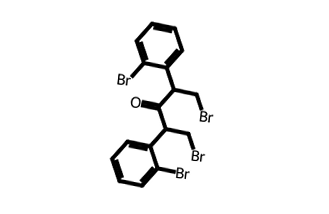 O=C(C(CBr)c1ccccc1Br)C(CBr)c1ccccc1Br